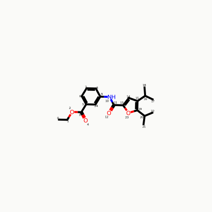 CCOC(=O)c1cccc(NC(=O)c2cc(C(C)C)c(C(C)C)o2)c1